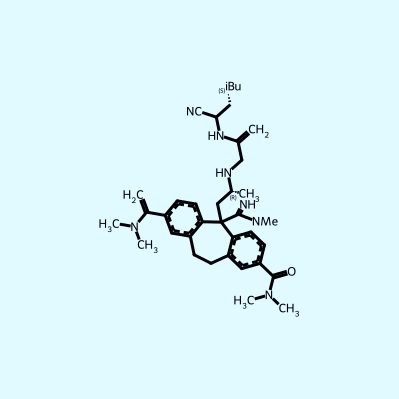 C=C(CN[C@H](C)CC1(C(=N)NC)c2ccc(C(=C)N(C)C)cc2CCc2cc(C(=O)N(C)C)ccc21)NC(C#N)C[C@@H](C)CC